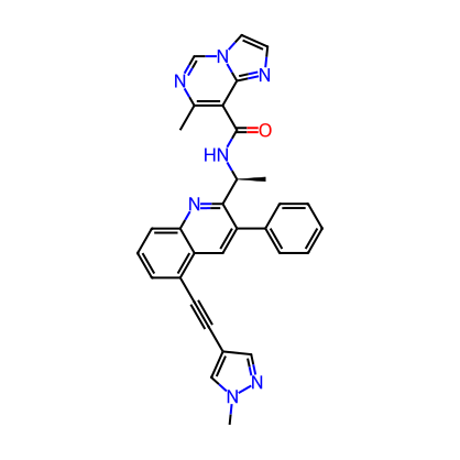 Cc1ncn2ccnc2c1C(=O)N[C@@H](C)c1nc2cccc(C#Cc3cnn(C)c3)c2cc1-c1ccccc1